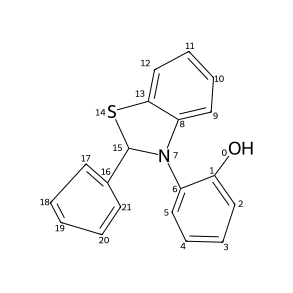 Oc1ccccc1N1c2ccccc2SC1c1ccccc1